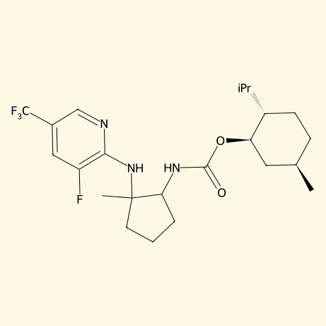 CC(C)[C@@H]1CC[C@@H](C)C[C@H]1OC(=O)NC1CCCC1(C)Nc1ncc(C(F)(F)F)cc1F